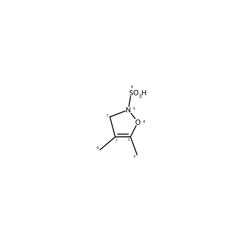 CC1=C(C)ON(S(=O)(=O)O)C1